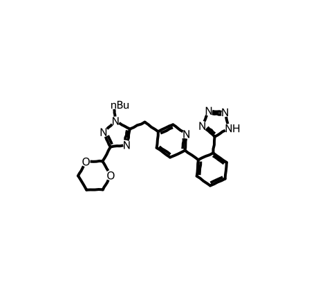 CCCCn1nc(C2OCCCO2)nc1Cc1ccc(-c2ccccc2-c2nnn[nH]2)nc1